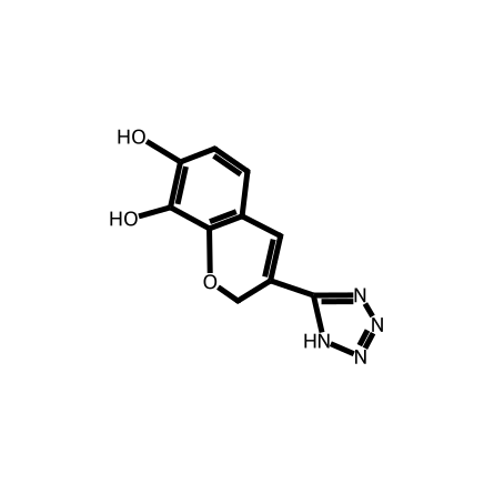 Oc1ccc2c(c1O)OCC(c1nnn[nH]1)=C2